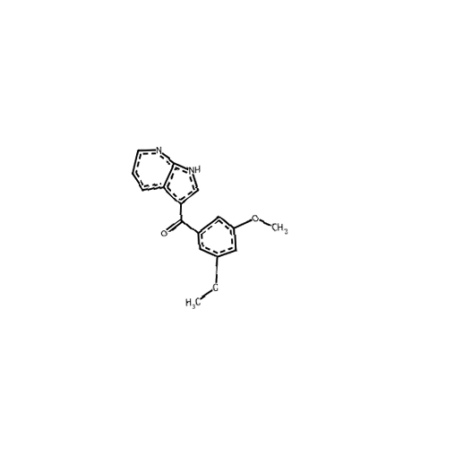 COc1cc(OC)cc(C(=O)c2c[nH]c3ncccc23)c1